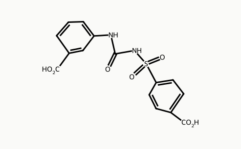 O=C(Nc1cccc(C(=O)O)c1)NS(=O)(=O)c1ccc(C(=O)O)cc1